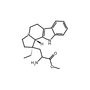 CC[C@]1(CC(N)C(=O)OC)CCN2CCc3c([nH]c4ccccc34)[C@@H]21